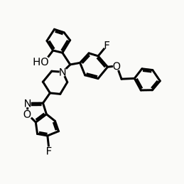 Oc1ccccc1C(c1ccc(OCc2ccccc2)c(F)c1)N1CCC(c2noc3cc(F)ccc23)CC1